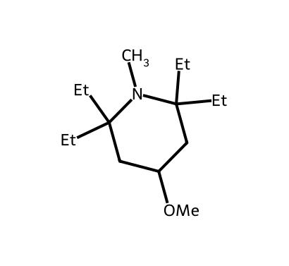 CCC1(CC)CC(OC)CC(CC)(CC)N1C